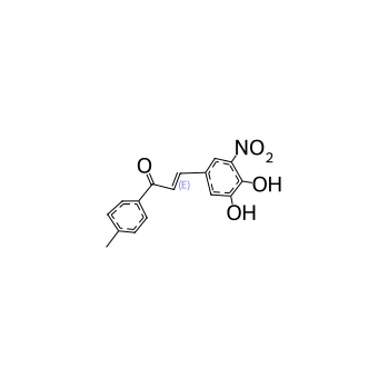 Cc1ccc(C(=O)/C=C/c2cc(O)c(O)c([N+](=O)[O-])c2)cc1